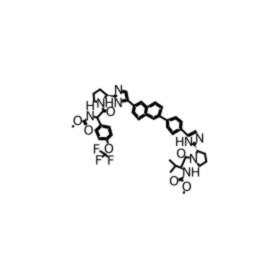 COC(=O)NC(C(=O)N1CCC[C@H]1c1ncc(-c2ccc3cc(-c4ccc(-c5cnc([C@@H]6CCCN6C(=O)[C@@H](NC(=O)OC)C(C)C)[nH]5)cc4)ccc3c2)[nH]1)c1ccc(OC(F)(F)F)cc1